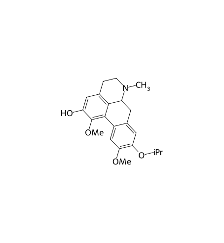 COc1cc2c(cc1OC(C)C)CC1c3c(cc(O)c(OC)c3-2)CCN1C